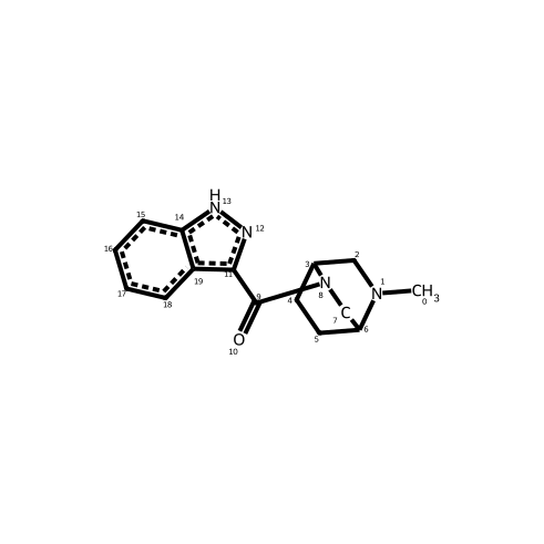 CN1CC2CCC1CN2C(=O)c1n[nH]c2ccccc12